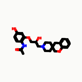 CC(=O)Nc1ccc(O)cc1OC[C@@H](O)CN1CCC2(CC1)COc1ccccc1C2